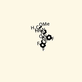 COCC(C)Nc1nccc(N(C(=O)NCc2c(F)cc(F)cc2F)c2ccc(F)cc2)n1